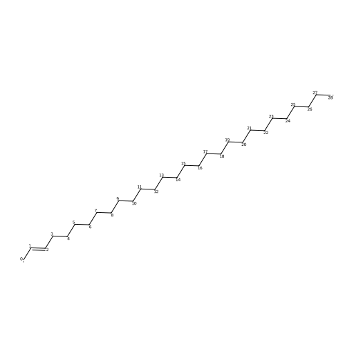 [CH2]C=CCCCCCCCCCCCCCCCCCCCCCCCCC[CH2]